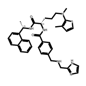 Cc1ccsc1N(C)CCC[C@H](NC(=O)c1ccc(CNCc2ncc[nH]2)cc1)C(=O)N[C@@H](C)c1cccc2ccccc12